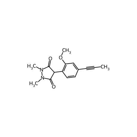 CC#Cc1ccc(C2C(=O)N(C)N(C)C2=O)c(OC)c1